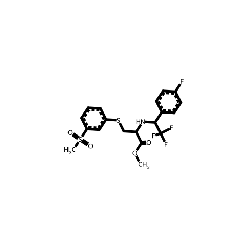 COC(=O)C(CSc1cccc(S(C)(=O)=O)c1)NC(c1ccc(F)cc1)C(F)(F)F